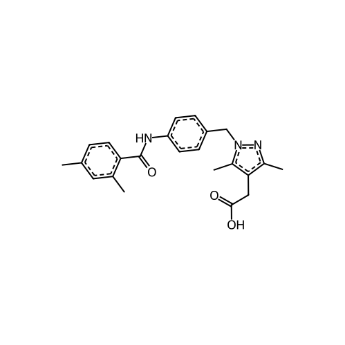 Cc1ccc(C(=O)Nc2ccc(Cn3nc(C)c(CC(=O)O)c3C)cc2)c(C)c1